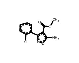 COC(=O)c1c(-c2ccccc2Cl)noc1N